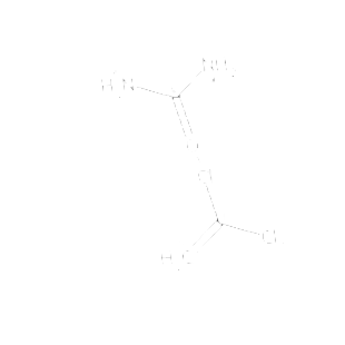 C=C(Cl)Cl.NC(N)=O